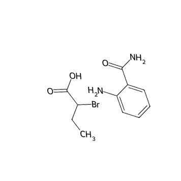 CCC(Br)C(=O)O.NC(=O)c1ccccc1N